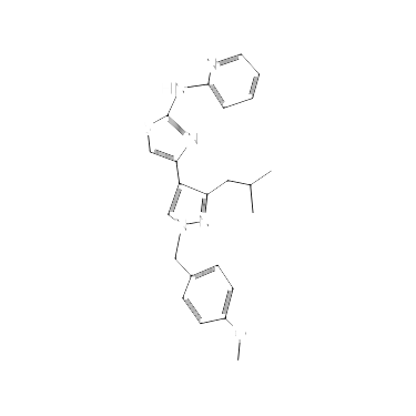 COc1ccc(Cn2cc(-c3csc(Nc4ccccn4)n3)c(CC(C)C)n2)cc1